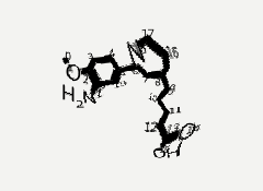 COc1ccc(-c2cc(CCCCC(=O)O)ccn2)cc1N